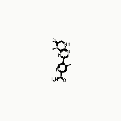 Cc1cc(C(N)=O)ncc1-c1cnc2c(n1)N(C)C(=O)CN2